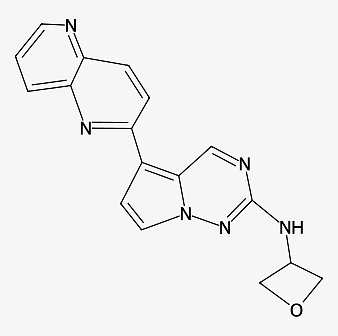 c1cnc2ccc(-c3ccn4nc(NC5COC5)ncc34)nc2c1